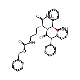 NC(=O)[C@@H](CCCNC(=O)OCc1ccccc1)N(C(=O)C(c1ccccc1)c1ccccc1)[C@H](CO)c1ccccc1